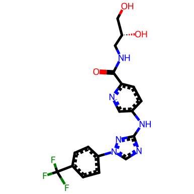 O=C(NC[C@@H](O)CO)c1ccc(Nc2ncn(-c3ccc(C(F)(F)F)cc3)n2)cn1